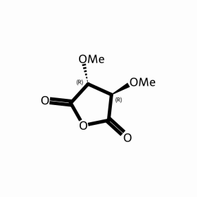 CO[C@H]1C(=O)OC(=O)[C@@H]1OC